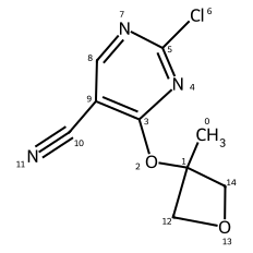 CC1(Oc2nc(Cl)ncc2C#N)COC1